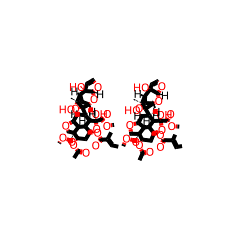 C/C=C(\C)C(=O)O[C@H]1C[C@@H](OC(C)=O)[C@@]2(C(=O)OC)CO[C@H]3[C@@H](O)[C@@](C)([C@]45O[C@@]4(C)[C@H]4C[C@@H]5O[C@@H]5OC=C[C@@]54O)[C@H]4[C@]1(CO[C@]4(O)C(=O)OC)[C@@H]32.C/C=C(\C)C(=O)O[C@H]1C[C@@H](OC(C)=O)[C@@]2(C(=O)OC)CO[C@H]3[C@@H](O)[C@@](C)([C@]45O[C@@]4(C)[C@H]4C[C@@H]5O[C@@H]5OC=C[C@@]54O)[C@H]4[C@]1(CO[C@]4(O)C(=O)OC)[C@@H]32